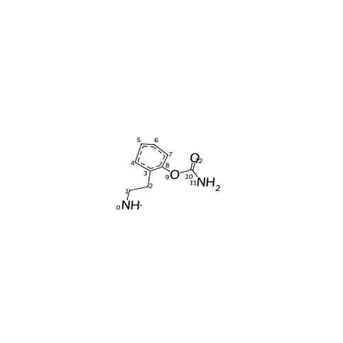 [NH]CCc1ccccc1OC(N)=O